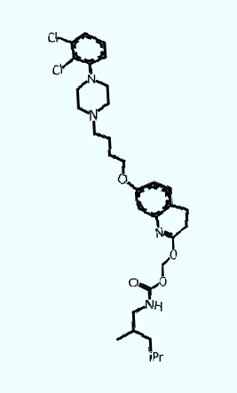 CC(C)CC(C)CNC(=O)OCOC1=Nc2cc(OCCCCN3CCN(c4cccc(Cl)c4Cl)CC3)ccc2CC1